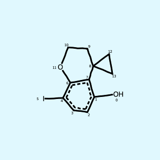 Oc1ccc(I)c2c1C1(CCO2)CC1